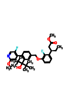 CC[C@H](CC(=O)OC)c1cccc(OCc2ccc(-c3cc(OC)ncc3F)c(C(O)(C(C)(C)C)C(C)(C)C)c2)c1F